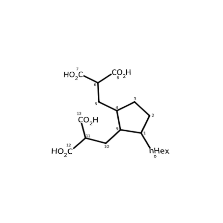 CCCCCCC1CCC(CC(C(=O)O)C(=O)O)C1CC(C(=O)O)C(=O)O